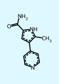 Cc1[nH]c(C(N)=O)cc1-c1ccncc1